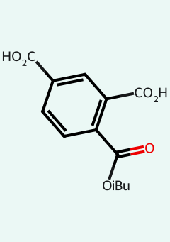 CC(C)COC(=O)c1ccc(C(=O)O)cc1C(=O)O